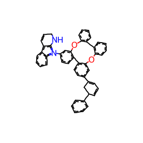 C1=CC(c2ccccc2)CC(c2ccc3c(c2)Oc2ccccc2-c2ccccc2Oc2cc(-n4c5c(c6ccccc64)C=CCN5)ccc2-3)=C1